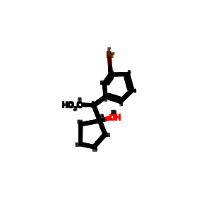 O=C(O)C(c1cccc(Br)c1)C1(O)CCCC1